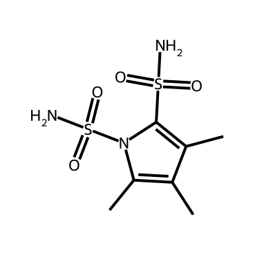 Cc1c(C)c(S(N)(=O)=O)n(S(N)(=O)=O)c1C